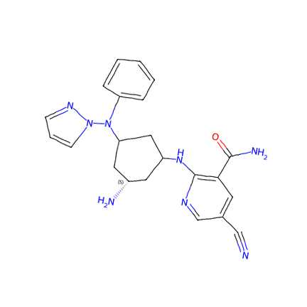 N#Cc1cnc(NC2CC(N(c3ccccc3)n3cccn3)C[C@@H](N)C2)c(C(N)=O)c1